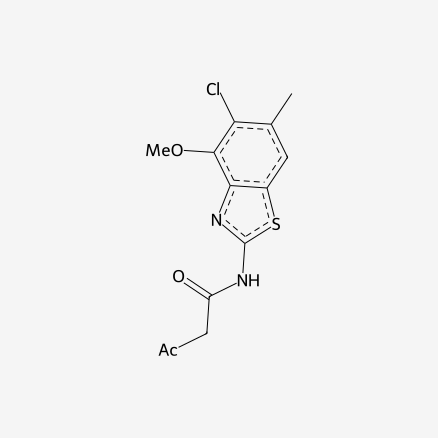 COc1c(Cl)c(C)cc2sc(NC(=O)CC(C)=O)nc12